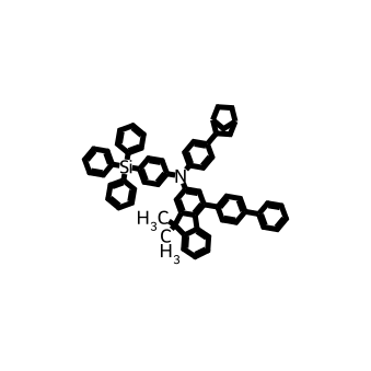 CC1(C)c2ccccc2-c2c(-c3ccc(-c4ccccc4)cc3)cc(N(c3ccc(C4CC5CCC4C5)cc3)c3ccc([Si](c4ccccc4)(c4ccccc4)c4ccccc4)cc3)cc21